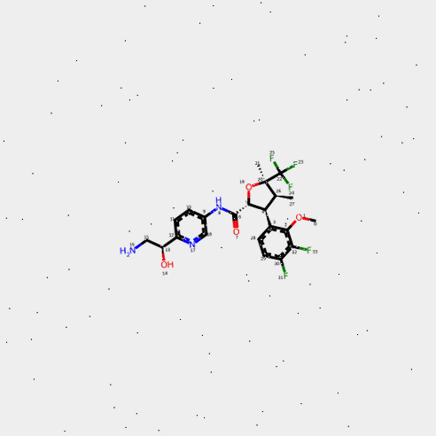 COc1c([C@H]2[C@H](C(=O)Nc3ccc([C@@H](O)CN)nc3)O[C@@](C)(C(F)(F)F)[C@H]2C)ccc(F)c1F